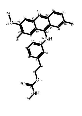 CNC(=O)OCCc1cccc(Nc2c3cc(C)ccc3nc3cc(OC)c(C)cc23)c1